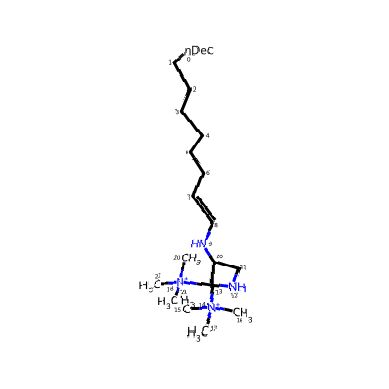 CCCCCCCCCCCCCCCCC=CNC1CNC1([N+](C)(C)C)[N+](C)(C)C